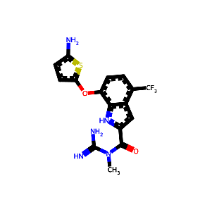 CN(C(=N)N)C(=O)c1cc2c(C(F)(F)F)ccc(Oc3ccc(N)s3)c2[nH]1